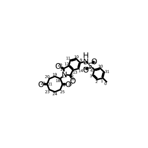 Cc1ccc(S(=O)(=O)Nc2ccc3c(c2)C(=O)N(C2CCC(=O)CCCC2=O)C3=O)cc1